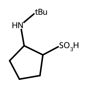 CC(C)(C)NC1CCCC1S(=O)(=O)O